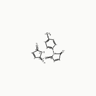 Cc1ccc(N2C(=O)C=CC2=O)cc1.O=C1C=CC(=O)N1